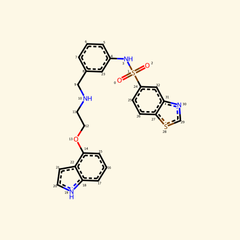 O=S(=O)(Nc1cccc(CNCCOc2cccc3[nH]ccc23)c1)c1ccc2scnc2c1